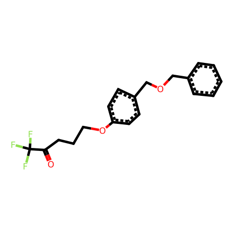 O=C(CCCOc1ccc(COCc2ccccc2)cc1)C(F)(F)F